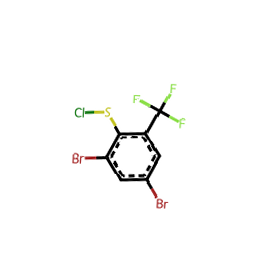 FC(F)(F)c1cc(Br)cc(Br)c1SCl